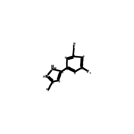 [CH2]c1cc(-c2cc(F)cc(F)c2)[nH]n1